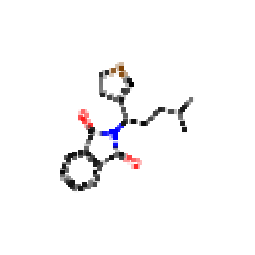 C[C](C)CCC(c1ccsc1)N1C(=O)c2ccccc2C1=O